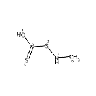 CNSC(O)=S